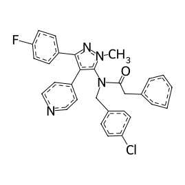 Cn1nc(-c2ccc(F)cc2)c(-c2ccncc2)c1N(Cc1ccc(Cl)cc1)C(=O)Cc1ccccc1